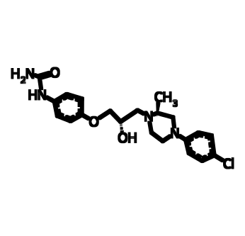 C[C@H]1CN(c2ccc(Cl)cc2)CCN1C[C@H](O)COc1ccc(NC(N)=O)cc1